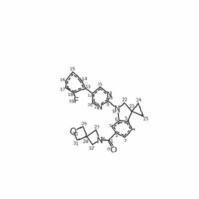 O=C(c1ccc2c(c1)N(c1ncc(-c3ccccc3F)cn1)CC21CC1)N1CC2(COC2)C1